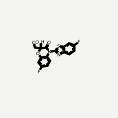 CC1(CC(=O)O)Oc2cc(F)ccc2N(c2nc3ccc(F)cc3s2)C1=O